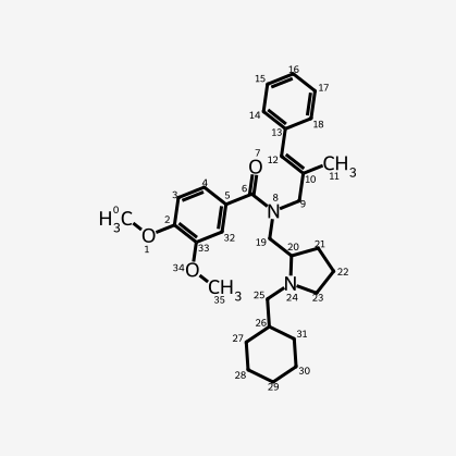 COc1ccc(C(=O)N(CC(C)=Cc2ccccc2)CC2CCCN2CC2CCCCC2)cc1OC